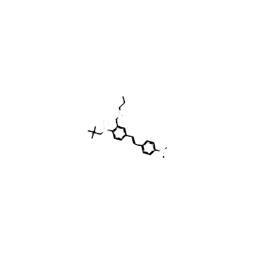 CCCNCc1cc(/C=C/c2ccc(N(C)C)cc2)ccc1NCC(C)(C)C